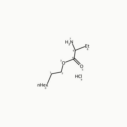 CCCCCCCCOC(=O)C(N)CC.Cl